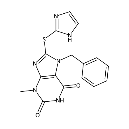 Cn1c(=O)[nH]c(=O)c2c1nc(Sc1ncc[nH]1)n2Cc1ccccc1